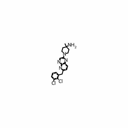 CC1(N)CCN(c2cnc3nc(Cc4cccc(Cl)c4Cl)ccc3n2)CC1